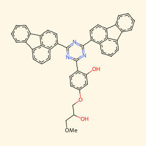 COCC(O)COc1ccc(-c2nc(-c3ccc4c5c(cccc35)-c3ccccc3-4)nc(-c3ccc4c5c(cccc35)-c3ccccc3-4)n2)c(O)c1